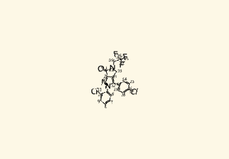 O=C1c2nn(-c3ccccc3Cl)c(-c3ccc(Cl)cc3)c2CN1CC(F)(F)F